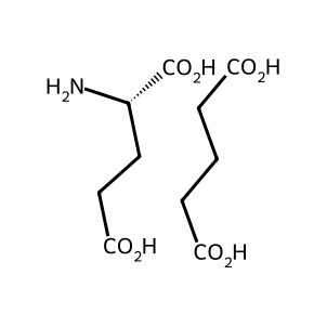 N[C@@H](CCC(=O)O)C(=O)O.O=C(O)CCCC(=O)O